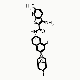 Cc1ccc2c(N)c(C(=O)N[C@H]3CCc4cc(N5CC6CNCC(C5)O6)cc(F)c4C3)sc2n1